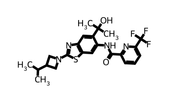 CC(C)C1CN(c2nc3cc(C(C)(C)O)c(NC(=O)c4cccc(C(F)(F)F)n4)cc3s2)C1